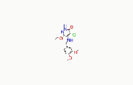 CCOc1n[nH]c(=O)c(Cl)c1NCc1ccc(OC)c(OC)c1